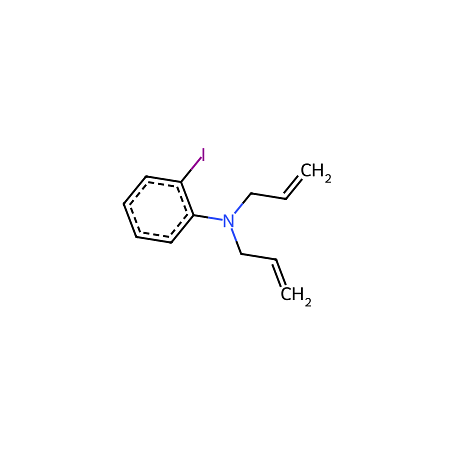 C=CCN(CC=C)c1ccccc1I